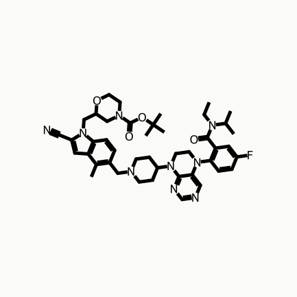 CCN(C(=O)c1cc(F)ccc1N1CCN(C2CCN(Cc3ccc4c(cc(C#N)n4CC4CN(C(=O)OC(C)(C)C)CCO4)c3C)CC2)c2ncncc21)C(C)C